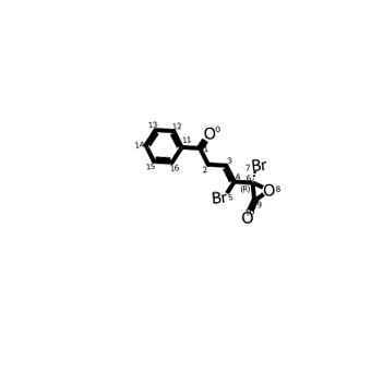 O=C(CC=C(Br)[C@@]1(Br)OC1=O)c1ccccc1